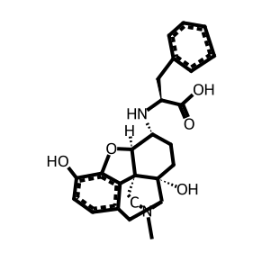 CN1CC[C@]23c4c5ccc(O)c4O[C@H]2[C@H](N[C@@H](Cc2ccccc2)C(=O)O)CC[C@@]3(O)C1C5